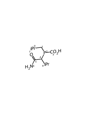 CC(C)CP(C(=O)O)C(C(N)=O)C(C)C